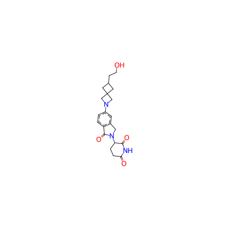 O=C1CCC(N2Cc3cc(N4CC5(CC(CCO)C5)C4)ccc3C2=O)C(=O)N1